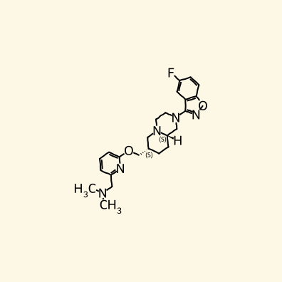 CN(C)Cc1cccc(OC[C@H]2CC[C@H]3CN(c4noc5ccc(F)cc45)CCN3C2)n1